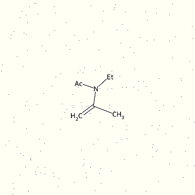 C=C(C)N(CC)C(C)=O